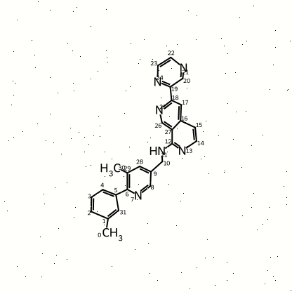 Cc1cccc(-c2ncc(CNc3nccc4cc(-c5cnccn5)ncc34)cc2C)c1